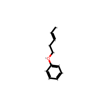 C/C=C/CCOc1c[c]ccc1